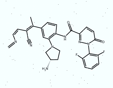 C=N/C=C\C(C#N)=C(/C)c1ccc(NC(=O)c2ccc(=O)n(-c3c(F)cccc3F)n2)c(N2CC[C@H](N)C2)c1